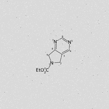 CCOC(=O)N1Cc2cncnc2C1